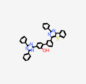 Oc1cc(-c2nc(-c3ccccc3)nc(-c3ccccc3)n2)ccc1-c1cccc(-c2nc(-c3ccccc3)nc3c2sc2ccccc23)c1